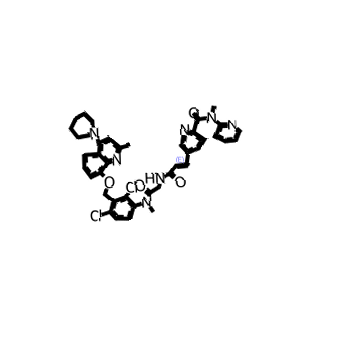 Cc1cc(N2CCCCC2)c2cccc(OCc3c(Cl)ccc(N(C)C(=O)CNC(=O)/C=C/c4ccc(C(=O)N(C)c5ccccn5)nc4)c3Cl)c2n1